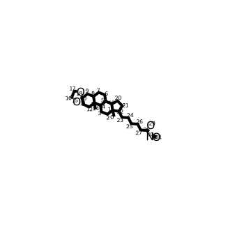 CC12CCC3C(CCC4CC5(CCC43C)OCCO5)C1CCC2CCCCCC(=O)N=O